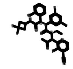 CC[C@@H](C(=O)N(c1cc(F)cc(F)c1)[C@H](C(=O)NC1CC(F)(F)C1)c1ccccc1Cl)N(C(C)=O)c1nccc(C#N)c1F